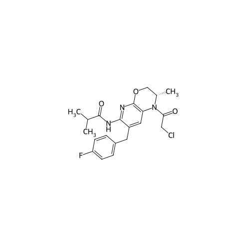 CC(C)C(=O)Nc1nc2c(cc1Cc1ccc(F)cc1)N(C(=O)CCl)[C@@H](C)CO2